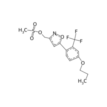 CCCOc1ccc(-c2cc(COS(C)(=O)=O)no2)c(C(F)(F)F)c1